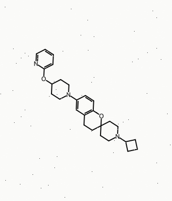 c1ccc(OC2CCN(c3ccc4c(c3)CCC3(CCN(C5CCC5)CC3)O4)CC2)nc1